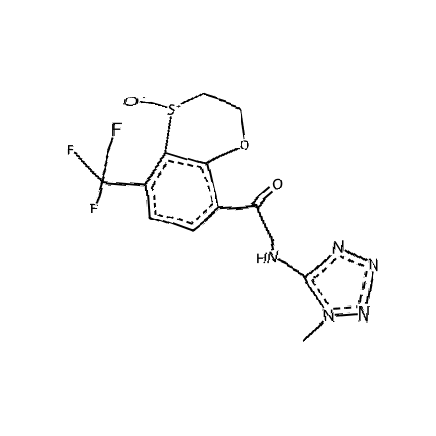 Cn1nnnc1NC(=O)c1ccc(C(F)(F)F)c2c1OCC[S+]2[O-]